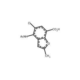 CC(=O)Nc1c(Cl)cc(C(=O)O)c2oc(C)cc12